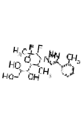 Cc1ccccc1-c1cn([C@H]2C(F)C(C)(F)O[C@@H]([C@H](O)[C@H](O)CO)[C@@H]2C)nn1